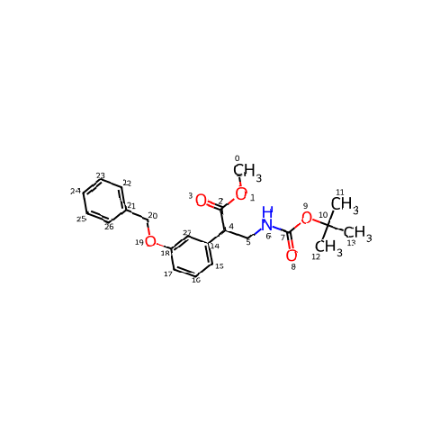 COC(=O)C(CNC(=O)OC(C)(C)C)c1cccc(OCc2ccccc2)c1